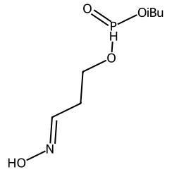 CC(C)CO[PH](=O)OCCC=NO